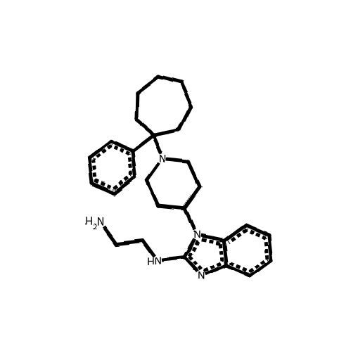 NCCNc1nc2ccccc2n1C1CCN(C2(c3ccccc3)CCCCCC2)CC1